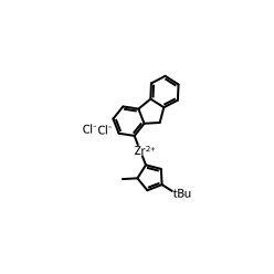 CC1C=C(C(C)(C)C)C=[C]1[Zr+2][c]1cccc2c1Cc1ccccc1-2.[Cl-].[Cl-]